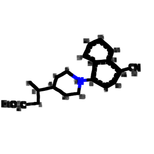 CCOC(=O)CC(C)C1CCN(c2ccc(C#N)c3ccccc23)CC1